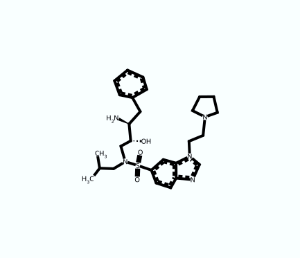 CC(C)CN(C[C@@H](O)[C@@H](N)Cc1ccccc1)S(=O)(=O)c1ccc2ncn(CCN3CCCC3)c2c1